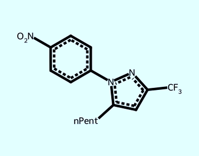 CCCCCc1cc(C(F)(F)F)nn1-c1ccc([N+](=O)[O-])cc1